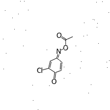 CC(=O)ON=C1C=CC(=O)C(Cl)=C1